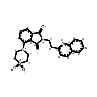 O=C1c2cccc(N3CCS(=O)(=O)CC3)c2C(=O)N1CCc1ccc2ccccc2n1